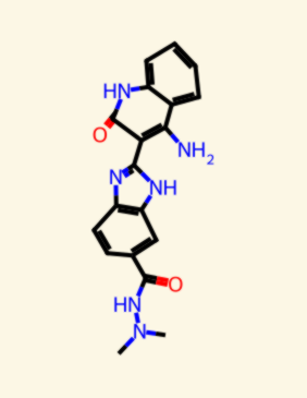 CN(C)NC(=O)c1ccc2nc(-c3c(N)c4ccccc4[nH]c3=O)[nH]c2c1